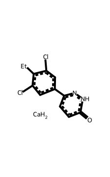 CCc1c(Cl)cc(-c2ccc(=O)[nH]n2)cc1Cl.[CaH2]